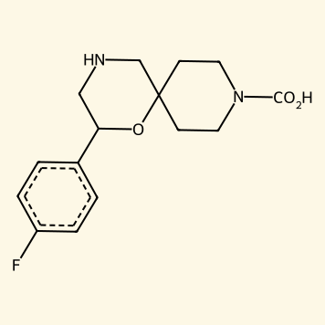 O=C(O)N1CCC2(CC1)CNCC(c1ccc(F)cc1)O2